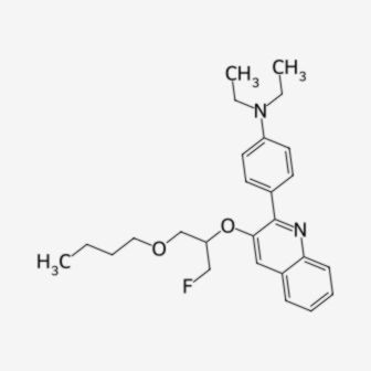 CCCCOCC(CF)Oc1cc2ccccc2nc1-c1ccc(N(CC)CC)cc1